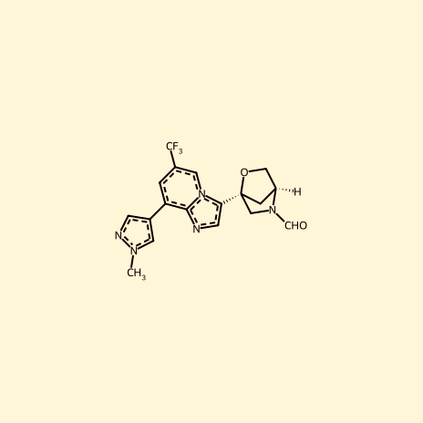 Cn1cc(-c2cc(C(F)(F)F)cn3c([C@@]45C[C@@H](CO4)N(C=O)C5)cnc23)cn1